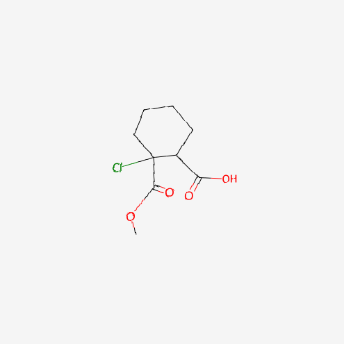 COC(=O)C1(Cl)CCCCC1C(=O)O